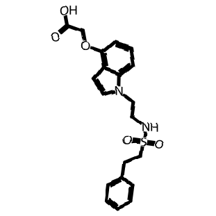 O=C(O)COc1cccc2c1ccn2CCNS(=O)(=O)CCc1ccccc1